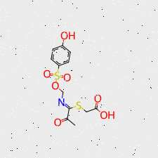 CC(=O)/C(=N/COS(=O)(=O)c1ccc(O)cc1)SCC(=O)O